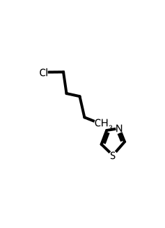 CCCCCCl.c1cscn1